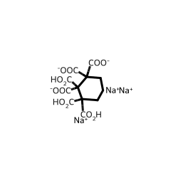 O=C([O-])C1(C(=O)[O-])CCCC(C(=O)O)(C(=O)O)C1(C(=O)[O-])C(=O)O.[Na+].[Na+].[Na+]